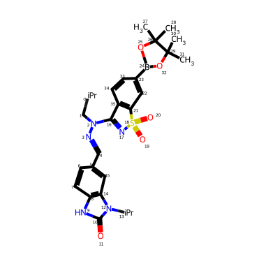 CC(C)CN(/N=C/c1ccc2[nH]c(=O)n(C(C)C)c2c1)C1=NS(=O)(=O)c2cc(B3OC(C)(C)C(C)(C)O3)ccc21